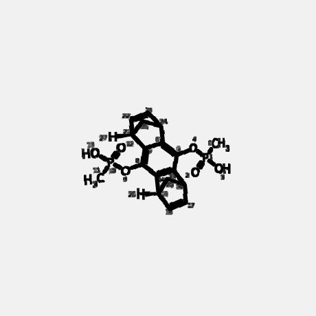 CP(=O)(O)Oc1c2c(c(OP(C)(=O)O)c3c1C1C=C[C@H]3C1)[C@@H]1C=CC2C1